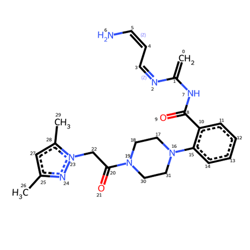 C=C(/N=C\C=C/N)NC(=O)c1ccccc1N1CCN(C(=O)Cn2nc(C)cc2C)CC1